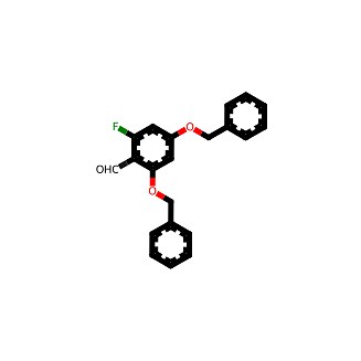 O=Cc1c(F)cc(OCc2ccccc2)cc1OCc1ccccc1